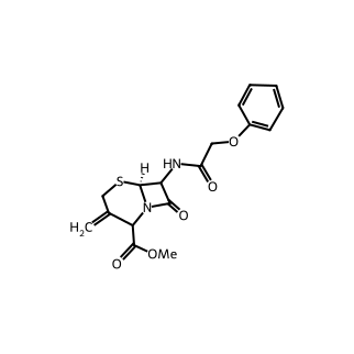 C=C1CS[C@H]2C(NC(=O)COc3ccccc3)C(=O)N2C1C(=O)OC